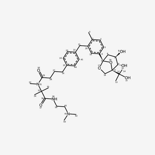 Cc1ccc([C@]23C[C@@H](O)[C@H](O)[C@](C(C)(C)O)(CO2)O3)cc1Cc1ccc(CCCC(=O)N(C)C(C)(C)C(=O)NCCN(C)C)cc1